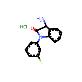 Cl.NC1C(=O)N(c2cccc(F)c2)c2ccccc21